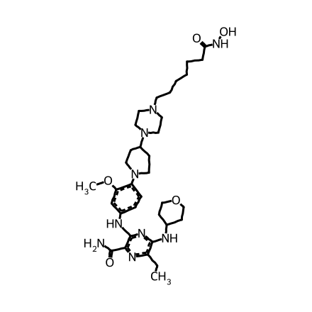 CCc1nc(C(N)=O)c(Nc2ccc(N3CCC(N4CCN(CCCCCCC(=O)NO)CC4)CC3)c(OC)c2)nc1NC1CCOCC1